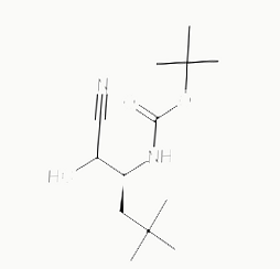 CC(C)(C)C[C@H](NC(=O)OC(C)(C)C)C(O)C#N